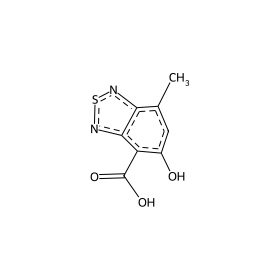 Cc1cc(O)c(C(=O)O)c2nsnc12